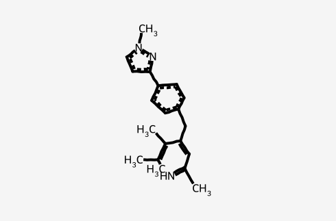 CC(=N)/C=C(/Cc1ccc(-c2ccn(C)n2)cc1)C(C)=C(C)C